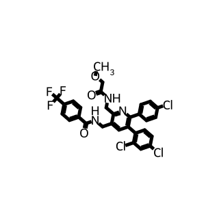 COCC(=O)NCc1nc(-c2ccc(Cl)cc2)c(-c2ccc(Cl)cc2Cl)cc1CNC(=O)c1ccc(C(F)(F)F)cc1